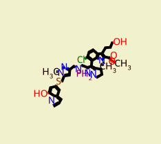 COC(=O)c1c(CCCO)c2ccc(Cl)c(-c3c(CN(P)Cc4cc(CSc5cc(O)c6ncccc6c5)n(C)n4)nn4c3CCC4)c2n1C